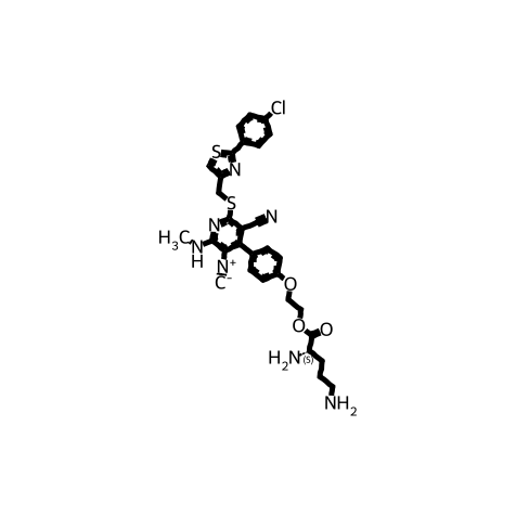 [C-]#[N+]c1c(NC)nc(SCc2csc(-c3ccc(Cl)cc3)n2)c(C#N)c1-c1ccc(OCCOC(=O)[C@@H](N)CCCN)cc1